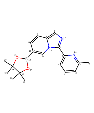 Cc1cccc(-c2ncc3ccc(B4OC(C)(C)C(C)(C)O4)cn23)n1